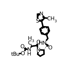 Cc1ncsc1-c1ccc(CNC(=O)[C@@H]2CCCN2C(=O)[C@H](C)NC(=O)OC(C)(C)C)cc1